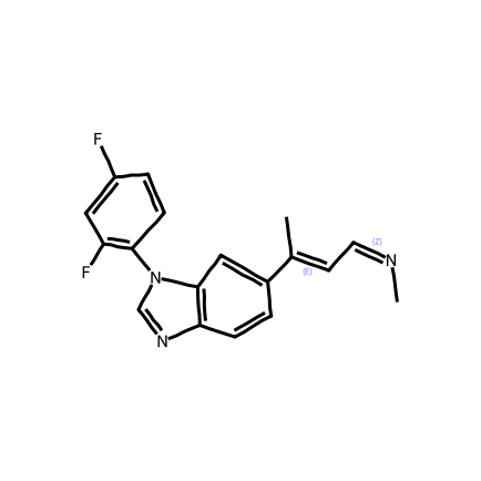 C/N=C\C=C(/C)c1ccc2ncn(-c3ccc(F)cc3F)c2c1